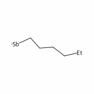 CCCCC[CH2][Sb]